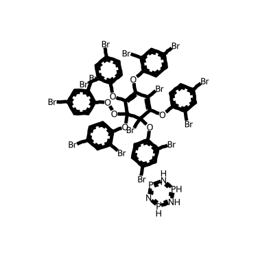 BrC1=C(Oc2ccc(Br)cc2Br)C(Br)(Oc2ccc(Br)cc2Br)C(OOc2ccc(Br)cc2Br)(Oc2ccc(Br)cc2Br)C(Oc2ccc(Br)cc2Br)=C1Oc1ccc(Br)cc1Br.n1p[nH][pH][nH][pH]1